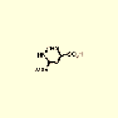 CSC(CC(C)S(=O)(=O)O)NC=O